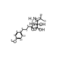 COc1ccc(CCCC(=O)N[C@@](O)(C(=O)O)[C@H](N)C(C)C)cc1